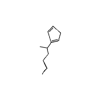 CCCCC(C)C1=[C]CC=C1